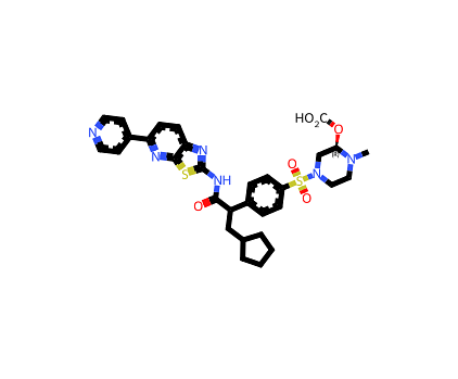 CN1CCN(S(=O)(=O)c2ccc(C(CC3CCCC3)C(=O)Nc3nc4ccc(-c5ccncc5)nc4s3)cc2)C[C@H]1OC(=O)O